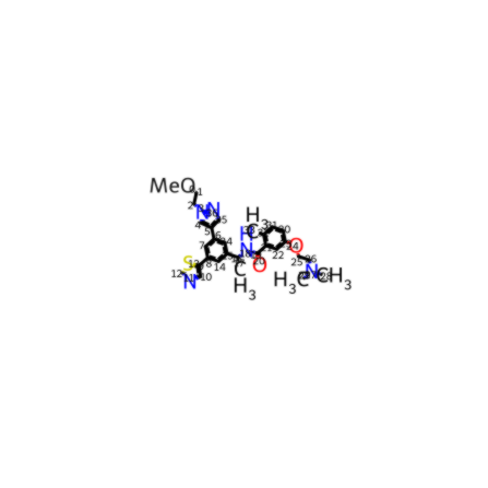 COCCn1cc(-c2cc(-c3cncs3)cc([C@@H](C)NC(=O)c3cc(OCCN(C)C)ccc3C)c2)cn1